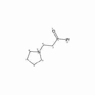 CC(C)C(=O)CCN1CCCC1